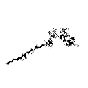 C=CCCCCC(=O)CC(=O)SCCNC(=O)CCNC(=O)[C@H](O)C(C)(C)COP(=O)(O)OP(=O)(O)OC[C@H]1O[C@@H](n2cnc3c(N)ncnc32)[C@H](O)[C@@H]1OP(=O)(O)O